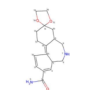 NC(=O)C1=CC2CNCC3CC4(CCC3=C2C=C1)OCCO4